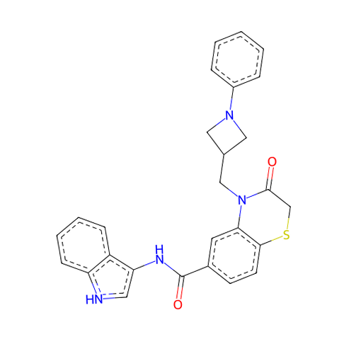 O=C(Nc1c[nH]c2ccccc12)c1ccc2c(c1)N(CC1CN(c3ccccc3)C1)C(=O)CS2